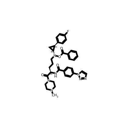 CN1CCN(C(=O)[C@@H](CCCN(OC(=O)c2ccccc2)[C@@H]2C[C@H]2c2ccc(F)cc2)NC(=O)c2ccc(-n3ccnn3)cc2)CC1